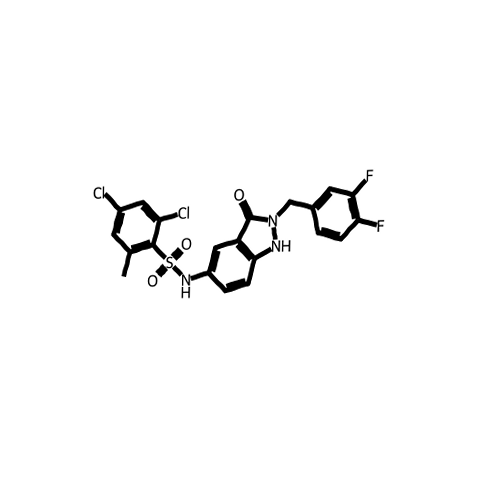 Cc1cc(Cl)cc(Cl)c1S(=O)(=O)Nc1ccc2[nH]n(Cc3ccc(F)c(F)c3)c(=O)c2c1